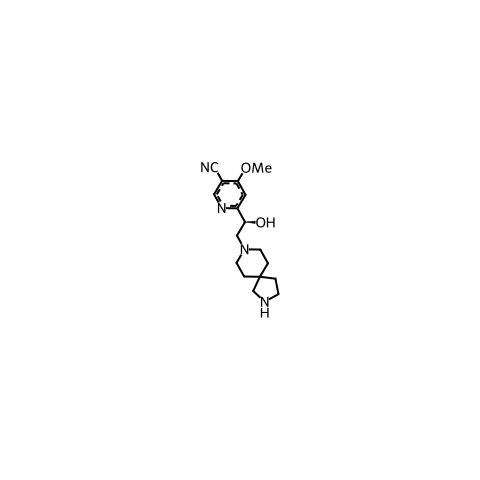 COc1cc([C@@H](O)CN2CCC3(CCNC3)CC2)ncc1C#N